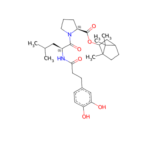 CC(C)C[C@H](NC(=O)CCc1ccc(O)c(O)c1)C(=O)N1CCC[C@H]1C(=O)OC1CC2CCC1(C)C2(C)C